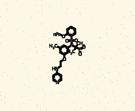 CCCOc1ccccc1S(=O)(=O)N(c1cc(C)cc(OCCNc2ccncc2)c1)C(C)(C)P(=O)=O